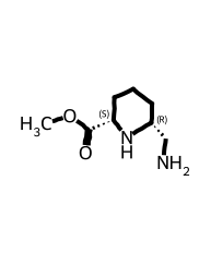 COC(=O)[C@@H]1CCC[C@H](CN)N1